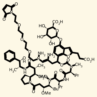 CC[C@H](C)[C@@H]([C@@H](CC(=O)N1CCC[C@H]1[C@H](OC)[C@@H](C)C(=O)N[C@H](C)[C@@H](O)c1ccccc1)OC)N(C)C(=O)[C@@H](NC(=O)[C@H](C(C)C)N(C)C(=O)OC(C/C(N)=C/N(N)CCOCCOCCOCCN1C(=O)C=CC1=O)c1ccc(O[C@@H]2O[C@H](C(=O)O)[C@@H](O)[C@H](O)[C@H]2O)c2cc(CCC(=O)O)oc12)C(C)C